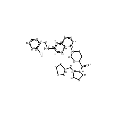 O=C(C1CCN(c2nccc3nc(NCc4ccccc4Cl)ncc23)CC1)N1CCC[C@H]1CN1CCCC1